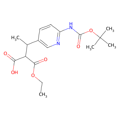 CCOC(=O)C(C(=O)O)C(C)c1ccc(NC(=O)OC(C)(C)C)nc1